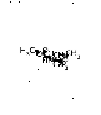 CCOC(=O)CC(=O)NC(C)(C)C(=O)OCC